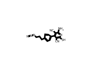 N#Cc1c(N)nc(S)c(C#N)c1-c1ccc(CCCN=[N+]=[N-])cc1